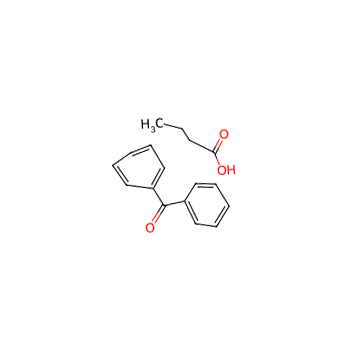 CCCC(=O)O.O=C(c1ccccc1)c1ccccc1